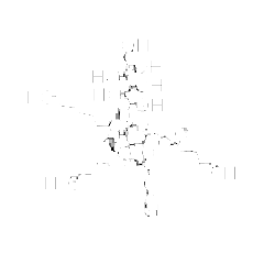 CCCCCCCC(=O)O[C@@H]1[C@H](OC(O)[C@@H](O)[C@H](O)[C@@H](O)[C@@H](O)CO)O[C@H](COC(=O)CCCCC)[C@@H](OC(=O)CCCCC)[C@@H]1OC(=O)CCCCC